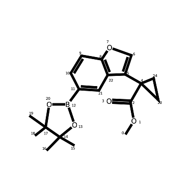 COC(=O)C1(c2coc3ccc(B4OC(C)(C)C(C)(C)O4)cc23)CC1